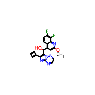 COc1cc(C(O)c2c(C3=CC=C3)nc3nccnn23)c2ccc(F)c(F)c2n1